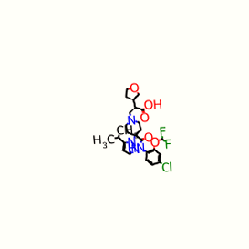 CC(C)c1ccnn1C1(C(=O)Nc2ccc(Cl)cc2OC(F)F)CCN(C[C@H](C(=O)O)[C@H]2CCOC2)CC1